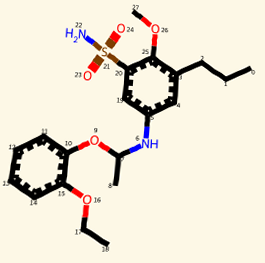 CCCc1cc(NC(C)Oc2ccccc2OCC)cc(S(N)(=O)=O)c1OC